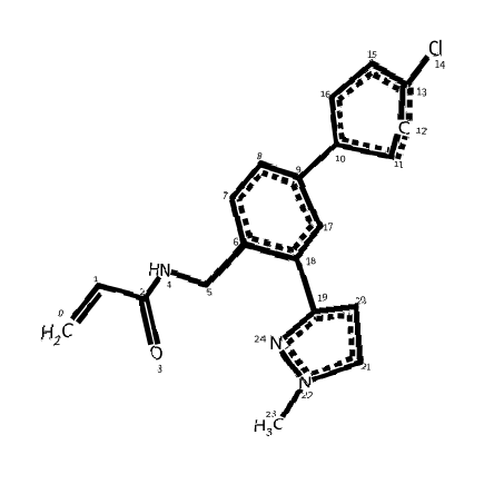 C=CC(=O)NCc1ccc(-c2ccc(Cl)cc2)cc1-c1ccn(C)n1